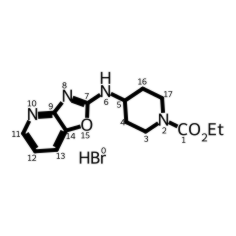 Br.CCOC(=O)N1CCC(Nc2nc3ncccc3o2)CC1